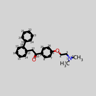 CN(C)CCOc1ccc(C(=O)Cc2ccccc2-c2ccccc2)cc1